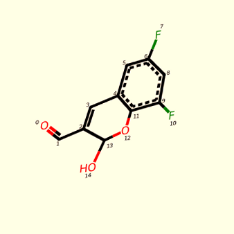 O=CC1=Cc2cc(F)cc(F)c2OC1O